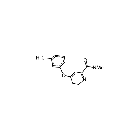 CNC(=O)C1=NCCC(Oc2cccc(C)c2)=C1